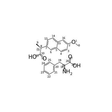 COc1ccc2cc([C@H](C)C(=O)O)ccc2c1.N[C@@H](Cc1ccccc1)C(=O)O